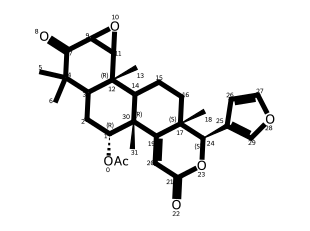 CC(=O)O[C@@H]1CC2C(C)(C)C(=O)C3OC3[C@]2(C)C2CC[C@@]3(C)C(=CC(=O)O[C@@H]3c3ccoc3)[C@@]21C